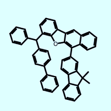 CC1(C)c2ccccc2-c2ccc(-c3c4ccccc4cc4c3oc3c(C(c5ccccc5)c5ccc(-c6ccccc6)cc5)cccc34)cc21